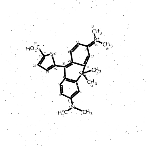 CN(C)c1ccc2c(c1)[Si](C)(C)C1=CC(=[N+](C)C)C=CC1=C2c1ccc(C(=O)O)s1